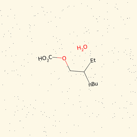 CCCCC(CC)COC(=O)O.O